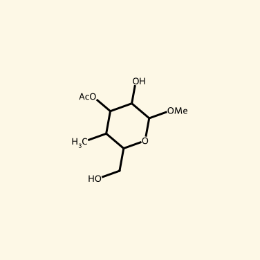 COC1OC(CO)C(C)C(OC(C)=O)C1O